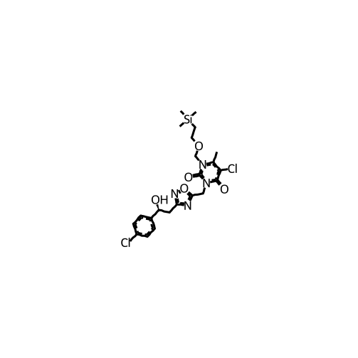 Cc1c(Cl)c(=O)n(Cc2nc(C[C@H](O)c3ccc(Cl)cc3)no2)c(=O)n1COCC[Si](C)(C)C